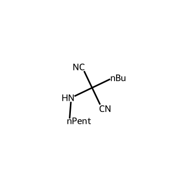 CCCCCNC(C#N)(C#N)CCCC